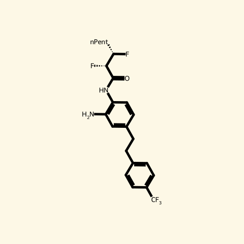 CCCCC[C@H](F)[C@@H](F)C(=O)Nc1ccc(CCc2ccc(C(F)(F)F)cc2)cc1N